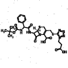 CC(C)(C)OC(=O)NC(C(=O)NC1C(=O)N2C(C(=O)O)=C(CSc3nnnn3CCC(=O)O)CS[C@H]12)c1ccccc1